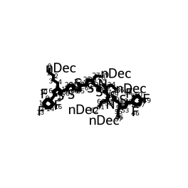 CCCCCCCCCCCCCCc1cc(-c2c(F)cc(F)cc2F)sc1-c1cc2sc(-c3cc(CCCCCCCCCCCC)c(-c4nc(CCCCCCCCCCCC)c(-c5sc(-c6sc(-c7c(F)cc(F)cc7F)cc6CCCCCCCCCCCC)nc5CCCCCCCCCCCC)s4)s3)cc2s1